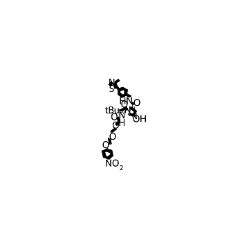 Cc1ncsc1-c1ccc(CNC(=O)[C@@H]2C[C@@H](O)CN2C(=O)[C@@H](NC(=O)COCCOCCOc2ccc([N+](=O)[O-])cc2)C(C)(C)C)cc1